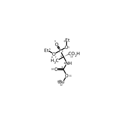 CCOP(=O)(OCC)[C@](C)(NC(=O)OC(C)(C)C)C(=O)O